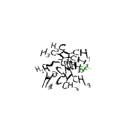 C=C[CH2][Zr+2]([C]1=C(C)C(C)=C(C)C1(C)C)[C]1=C(C)C(C)=C(C)C1(C)C.[F-].[F-]